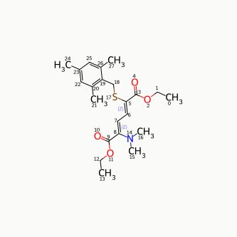 CCOC(=O)/C(=C/C=C(/C(=O)OCC)N(C)C)SCc1c(C)cc(C)cc1C